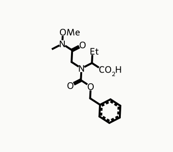 CCC(C(=O)O)N(CC(=O)N(C)OC)C(=O)OCc1ccccc1